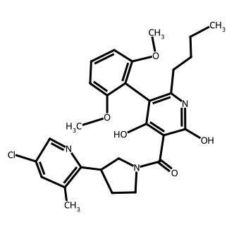 CCCCc1nc(O)c(C(=O)N2CCC(c3ncc(Cl)cc3C)C2)c(O)c1-c1c(OC)cccc1OC